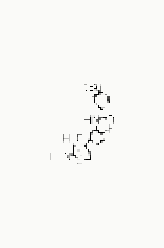 CC(C)(C)c1ccc(C(=O)Nc2cc(C3(C)CCSC(N)=N3)ccc2F)cc1